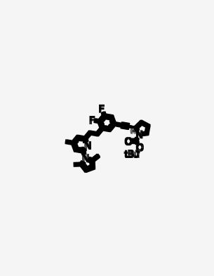 Cc1cc(CCc2cc(C#C[C@H]3CCCN3C(=O)OC(C)(C)C)cc(F)c2F)nc(-n2c(C)ccc2C)c1